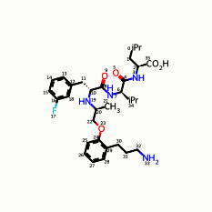 CC(C)C[C@H](NC(=O)[C@H](NC(=O)[C@@H](Cc1cccc(F)c1)N[C@@H](C)COc1ccccc1CCCN)C(C)C)C(=O)O